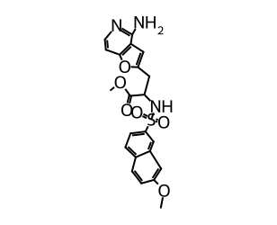 COC(=O)C(Cc1cc2c(N)nccc2o1)NS(=O)(=O)c1ccc2ccc(OC)cc2c1